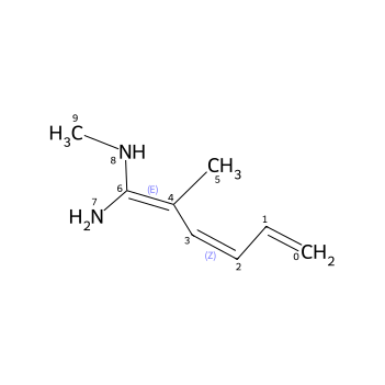 C=C/C=C\C(C)=C(/N)NC